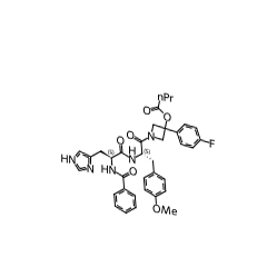 CCCC(=O)OC1(c2ccc(F)cc2)CN(C(=O)[C@H](Cc2ccc(OC)cc2)NC(=O)[C@H](Cc2c[nH]cn2)NC(=O)c2ccccc2)C1